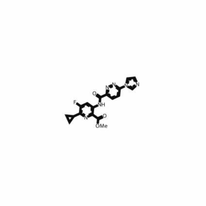 COC(=O)c1nc(C2CC2)c(F)cc1NC(=O)c1ccc(-n2ccnc2)nn1